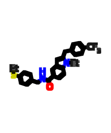 CCSc1ccc(CNC(=O)c2ccc3c(c2)cc(Cc2ccc(C(F)(F)F)cc2)n3CC)cc1